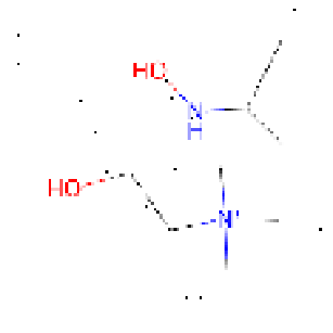 CC(C)NO.C[N+](C)(C)CCO